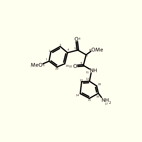 COc1ccc(C(=O)C(OC)C(=O)Nc2cccc(N)c2)cc1